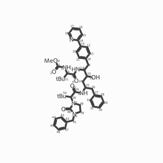 COC(=O)NC(C(=O)NC(Cc1ccc(-c2ccccn2)cc1)C(O)CC(Cc1ccccc1)NC(=O)C(N1CCN(Cc2ccccc2)C1=O)C(C)(C)C)C(C)(C)C